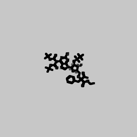 CCOC(=O)C(Cc1ccccc1)(OC[C@H]1O[C@@H](n2cnc3c(N(C(=O)OC(C)(C)C)C(=O)OC(C)(C)C)nc(Cl)nc32)[C@H](O[Si](C)(C)C(C)(C)C)[C@@H]1F)C(C)=O